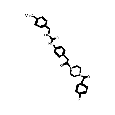 COc1ccc(CNC(=O)Nc2ccc(CC(=O)N3CCN(C(=O)c4ccc(F)cc4)CC3)cc2)cc1